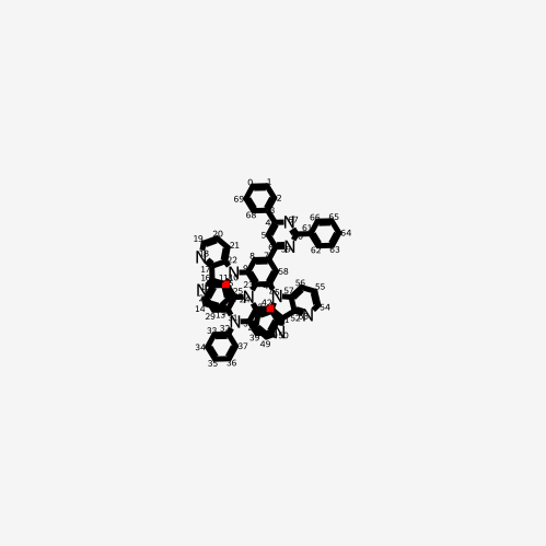 c1ccc(-c2cc(-c3cc(-n4c5cccnc5c5ncccc54)c(N4c5ccccc5N(c5ccccc5)c5ccccc54)c(-n4c5cccnc5c5ncccc54)c3)nc(-c3ccccc3)n2)cc1